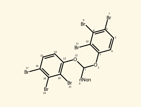 CCCCCCCCCC(Oc1ccc(Br)c(Br)c1Br)Oc1ccc(Br)c(Br)c1Br